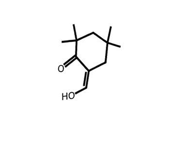 CC1(C)C/C(=C/O)C(=O)C(C)(C)C1